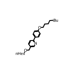 CCCCCCOCc1ccc(-c2ccc(OCCCCC(C)CC)cc2)nc1